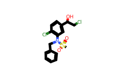 CS(=O)(=O)N(Cc1ccccc1)c1cc(C(O)CCl)ccc1Cl